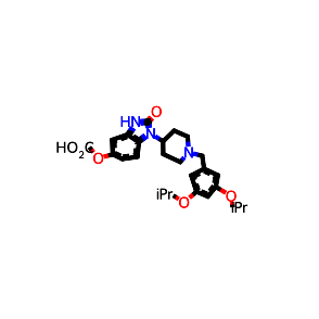 CC(C)Oc1cc(CN2CCC(n3c(=O)[nH]c4cc(OC(=O)O)ccc43)CC2)cc(OC(C)C)c1